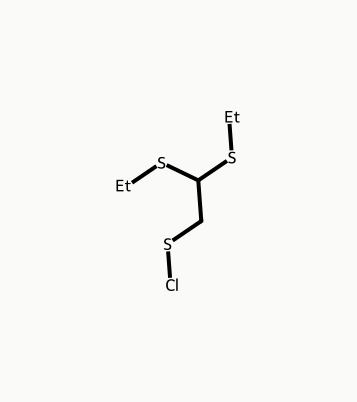 CCSC(CSCl)SCC